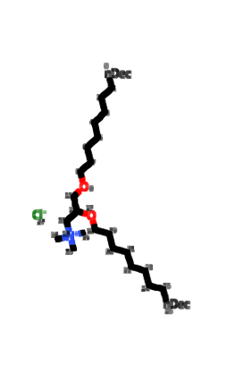 CCCCCCCCCCCCCCCCCCOCC(C[N+](C)(C)C)OCCCCCCCCCCCCCCCCCC.[Cl-]